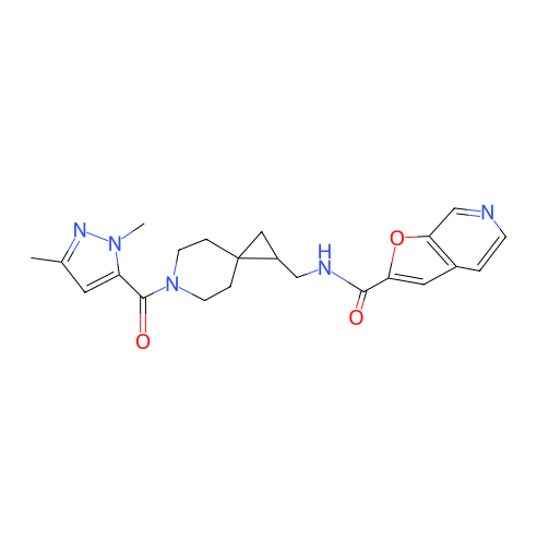 Cc1cc(C(=O)N2CCC3(CC2)CC3CNC(=O)c2cc3ccncc3o2)n(C)n1